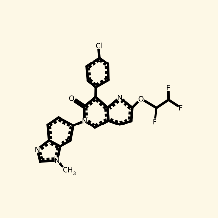 Cn1cnc2ccc(-n3cc4ccc(OC(F)C(F)F)nc4c(-c4ccc(Cl)cc4)c3=O)cc21